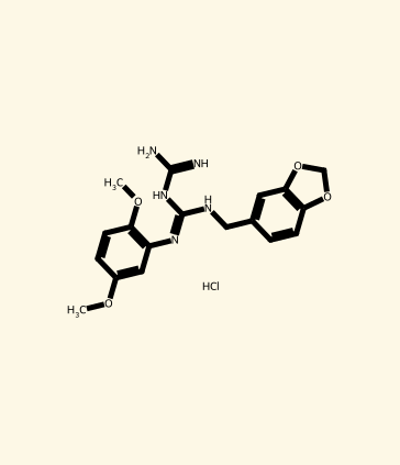 COc1ccc(OC)c(N=C(NCc2ccc3c(c2)OCO3)NC(=N)N)c1.Cl